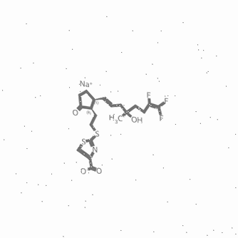 CC(O)(CC=C[C@@H]1CCC(=O)[C@@H]1CCSc1nc(C(=O)[O-])cs1)CCC(F)=C(F)F.[Na+]